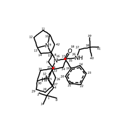 CC(C)(C)CNCCCN1C2CCC1CC(N(C(=O)c1ccccc1)C1CC3CCC(C1)N3CCCNCC(C)(C)C)C2